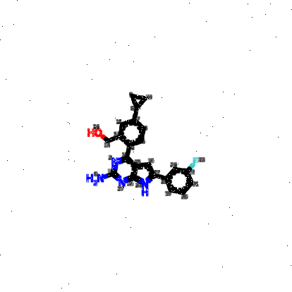 Nc1nc(-c2ccc([C]3CC3)cc2CO)c2cc(-c3cccc(F)c3)[nH]c2n1